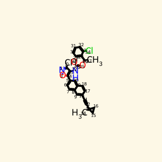 Cc1noc(-c2ccc3cc(C#CC4(C)CC4)ccc3c2)c1NC(=O)O[C@H](C)c1ccccc1Cl